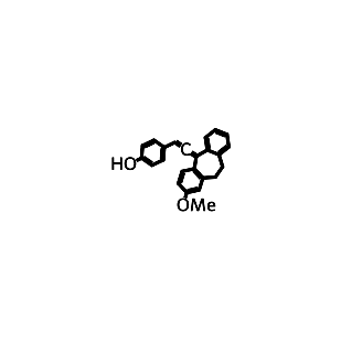 COc1ccc2c(c1)CCc1ccccc1C2=C=Cc1ccc(O)cc1